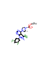 C[C@@H]1CN(c2ncnc3c2c(Br)nn3-c2cc(F)cc(F)c2)CCN1C(=O)OC(C)(C)C